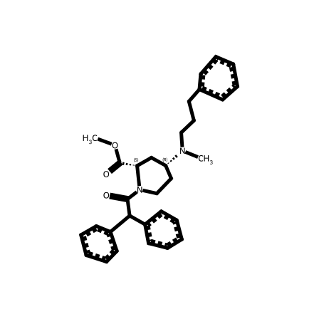 COC(=O)[C@@H]1C[C@H](N(C)CCCc2ccccc2)CCN1C(=O)C(c1ccccc1)c1ccccc1